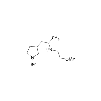 COCCNC(C)CC1CCN(C(C)C)C1